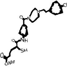 COC(=O)CCC(S)C(=O)Nc1ccc(C(=O)N2CCN(CCc3ccc(Cl)cc3)CC2)cc1